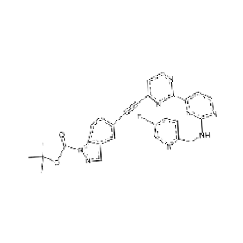 CC(Nc1nccc(-c2nccc(C#Cc3ccc4c(cnn4C(=O)OC(C)(C)C)c3)n2)n1)c1ccc(F)cn1